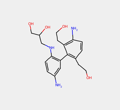 Nc1ccc(NCC(O)CO)c(-c2c(CCO)ccc(N)c2CCO)c1